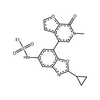 CCS(=O)(=O)Nc1cc(-c2cn(C)c(=O)c3occc23)c2oc(C3CC3)nc2c1